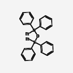 CC[Si](O[Si](CC)(c1ccccc1)c1ccccc1)(c1ccccc1)c1ccccc1